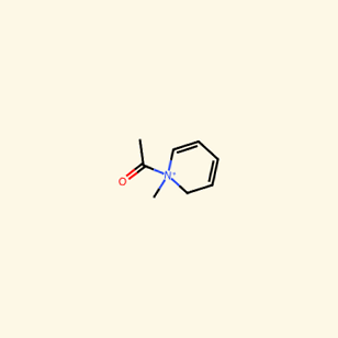 CC(=O)[N+]1(C)C=CC=CC1